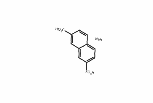 O=C(O)c1ccc2ccc(S(=O)(=O)O)cc2c1.[NaH]